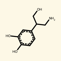 NCC(CO)c1ccc(O)c(O)c1